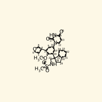 COc1c(-c2ccoc2)cc(-n2ccc(=O)[nH]c2=O)cc1C1(CNS(C)(=O)=O)CCc2ccccc21